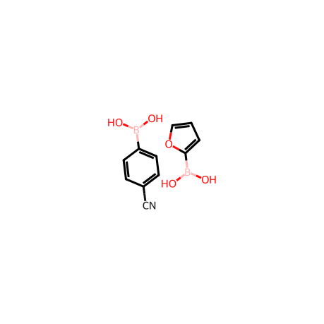 N#Cc1ccc(B(O)O)cc1.OB(O)c1ccco1